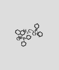 CCC(C)P(c1ccccc1)c1ccccc1.[Cl][Ni]([c]1cccc2ccccc12)[P](c1ccccc1)c1ccccc1